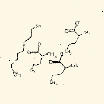 CCCC(C)C(=O)[O-].CCCC(C)C(=O)[O-].CCCC(C)C(=O)[O-].CCCCCCC[CH2][Sn+3]